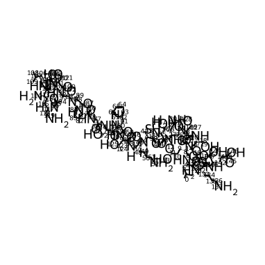 CC(C)C[C@H](NC(=O)[C@H](CCC(=O)O)NC(=O)[C@H](CO)NC(=O)[C@@H](NC(=O)[C@H](CC(N)=O)NC(=O)[C@H](CO)NC(=O)[C@H](CS)NC(=O)[C@H](CCCCN)NC(=O)[C@@H](NC(=O)[C@H](Cc1ccccc1)NC(=O)[C@H](CO)NC(=O)CNC(=O)[C@@H]1CCCN1C(=O)[C@H](C)NC(=O)[C@H](CC(N)=O)NC(=O)[C@@H](NC(=O)[C@H](CC(C)C)NC(=O)[C@@H](N)CCCCN)[C@@H](C)O)[C@@H](C)O)[C@@H](C)O)C(=O)N[C@@H](CCCCN)C(=O)N[C@@H](CCC(=O)O)C(=O)O